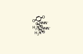 O=C1C=CC(=O)C=C1.[N-]=[N+]=NS(N)(=O)=O.[N-]=[N+]=NS(N)(=O)=O